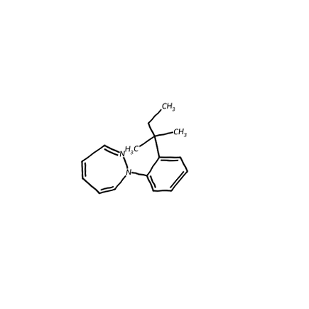 CCC(C)(C)c1ccccc1N1C=CC=CC=N1